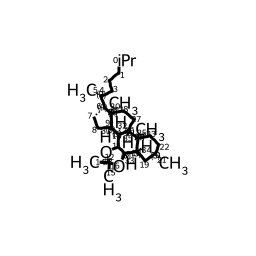 CC(C)CCC[C@@H](C)[C@H]1CC[C@H]2[C@@H]3C4OC(C)(C)O[C@@H]4[C@H]4C[C@@H](C)CC[C@]4(C)[C@H]3CC[C@]12C